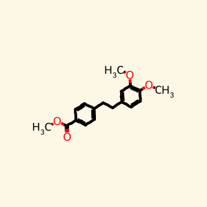 COC(=O)c1ccc(CCc2ccc(OC)c(OC)c2)cc1